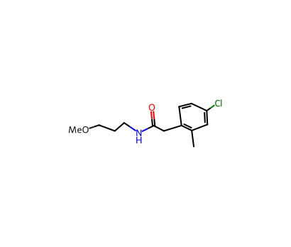 COCCCNC(=O)Cc1ccc(Cl)cc1C